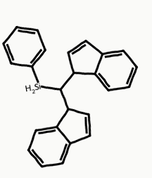 C1=CC(C([SiH2]c2ccccc2)C2C=Cc3ccccc32)c2ccccc21